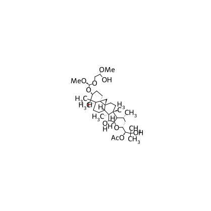 CO[C@@H](OC[C@@H](O)OC)O[C@H]1CC[C@]23C[C@]24CC[C@]2(C)[C@@H]5[C@H](O[C@@H]([C@H](OC(C)=O)C(C)(C)O)C[C@H]5C)[C@H](O)[C@@]2(C)[C@@H]4CC[C@H]3C1(C)C